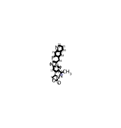 C/C(=N/N1CCOC1=O)c1ccc2ncc(Cc3cc4cccnc4cc3F)n2n1